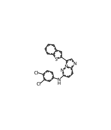 Clc1ccc(Nc2ccc3ncc(-c4cc5ccccc5s4)n3n2)cc1Cl